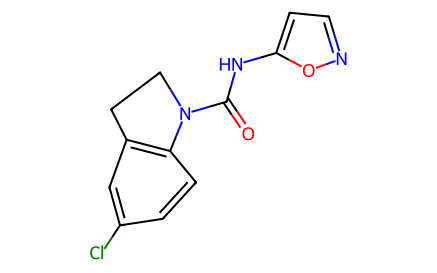 O=C(Nc1ccno1)N1CCc2cc(Cl)ccc21